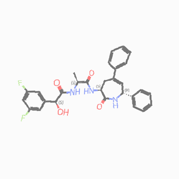 C[C@H](NC(=O)[C@@H](O)c1cc(F)cc(F)c1)C(=O)N[C@H]1CC(c2ccccc2)=C[C@H](c2ccccc2)NC1=O